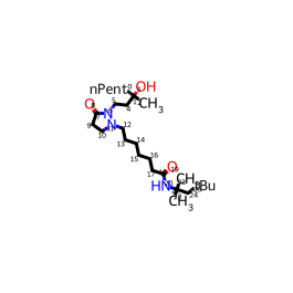 CCCCCC(C)(O)CCN1C(=O)CCN1CCCCCCC(=O)NC(C)(C)CC(C)(C)C